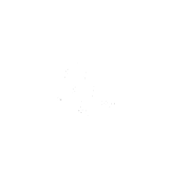 Nc1c(C(=O)O)cc2ccccc2c1Br